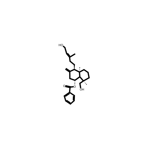 C=C1C[C@@H](OC(=O)c2ccccc2)C2[C@](C)(CO)CCC[C@]2(C)[C@@H]1CC/C(C)=C/CO